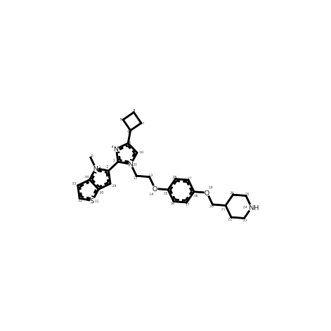 Cn1c(-c2nc(C3CCC3)cn2CCOc2ccc(OCC3CCNCC3)cc2)cc2sccc21